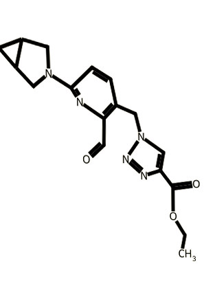 CCOC(=O)c1cn(Cc2ccc(N3CC4CC4C3)nc2C=O)nn1